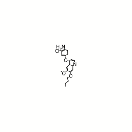 CCCCOc1cc2nccc(Oc3ccc(N)c(Cl)c3)c2cc1OC